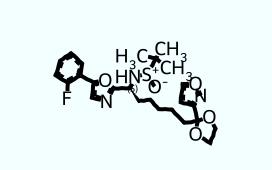 CC(C)(C)[S+]([O-])N[C@@H](CCCCCC1(c2ccon2)OCCO1)c1ncc(-c2ccccc2F)o1